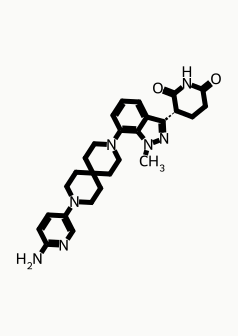 Cn1nc([C@H]2CCC(=O)NC2=O)c2cccc(N3CCC4(CCN(c5ccc(N)nc5)CC4)CC3)c21